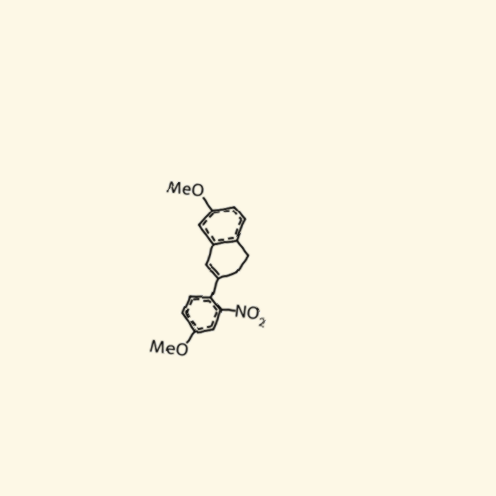 COc1ccc2c(c1)C=C(c1ccc(OC)cc1[N+](=O)[O-])CC2